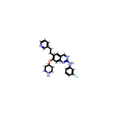 Fc1cccc(Nc2ncc3cc(CCc4cccnc4)c(OC4CCNCC4)cc3n2)c1